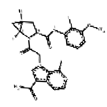 Cc1nccc2c(C(N)=O)nn(CC(=O)N3[C@@H]4C[C@@H]4C[C@H]3C(=O)Nc3cccc(OC(F)(F)F)c3F)c12